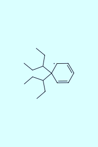 CCC(CC)C1(C(CC)CC)[CH]C=CC=C1